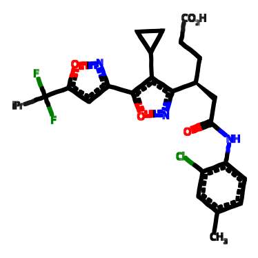 Cc1ccc(NC(=O)C[C@H](CCC(=O)O)c2noc(-c3cc(C(F)(F)C(C)C)on3)c2C2CC2)c(Cl)c1